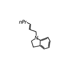 [CH2]CC/C=C/CN1CCc2ccccc21